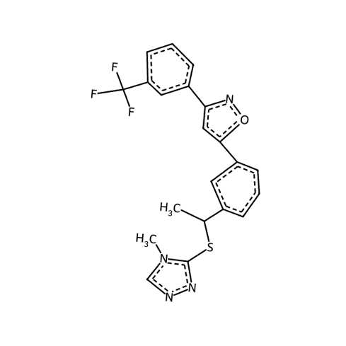 CC(Sc1nncn1C)c1cccc(-c2cc(-c3cccc(C(F)(F)F)c3)no2)c1